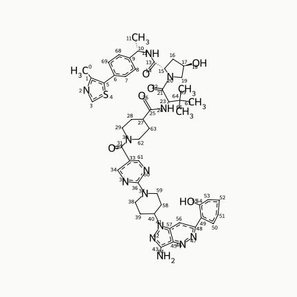 Cc1ncsc1-c1ccc([C@H](C)NC(=O)[C@@H]2C[C@@H](O)CN2C(=O)[C@@H](NC(=O)C2CCN(C(=O)c3cnc(N4CCC(n5nc(N)c6nnc(-c7ccccc7O)cc65)CC4)nc3)CC2)C(C)(C)C)cc1